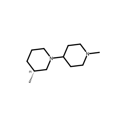 C[C@@H]1CCCN(C2CCN(C)CC2)C1